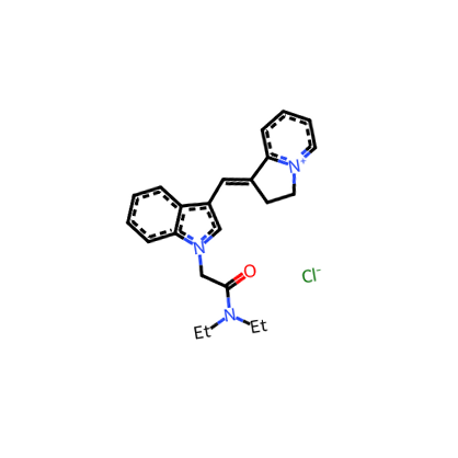 CCN(CC)C(=O)Cn1cc(/C=C2\CC[n+]3ccccc32)c2ccccc21.[Cl-]